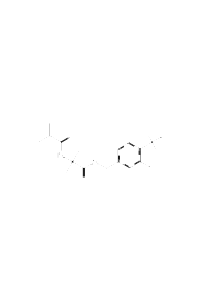 CC(C)C(=O)NC(C)(C)C(=O)NCc1ccc(C(F)(F)F)c(F)c1